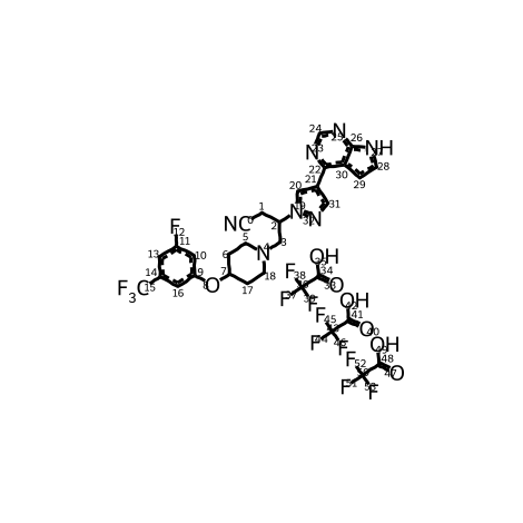 N#CCC(CN1CCC(Oc2cc(F)cc(C(F)(F)F)c2)CC1)n1cc(-c2ncnc3[nH]ccc23)cn1.O=C(O)C(F)(F)F.O=C(O)C(F)(F)F.O=C(O)C(F)(F)F